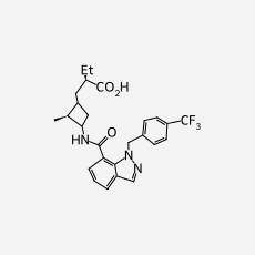 CC[C@H](CC1CC(NC(=O)c2cccc3cnn(Cc4ccc(C(F)(F)F)cc4)c23)[C@H]1C)C(=O)O